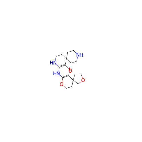 C1CC2(CCN1)CCNC1=C2C2(CCOC2)C2=C(N1)OCCC21CCOC1